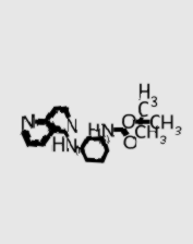 CC(C)(C)OC(=O)N[C@H]1CCC[C@@H](Nc2nccc3ncccc23)C1